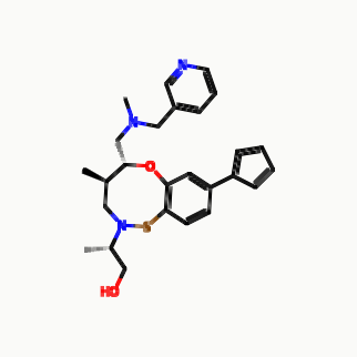 C[C@@H]1CN([C@@H](C)CO)Sc2ccc(C3=C=CC=C3)cc2O[C@H]1CN(C)Cc1cccnc1